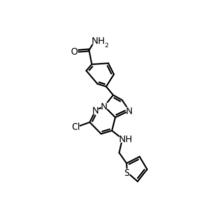 NC(=O)c1ccc(-c2cnc3c(NCc4cccs4)cc(Cl)nn23)cc1